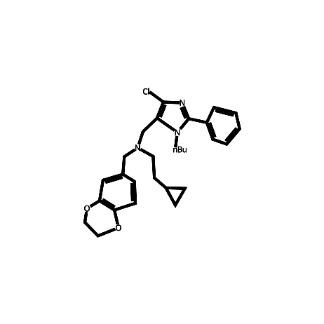 CCCCn1c(-c2ccccc2)nc(Cl)c1CN(CCC1CC1)Cc1ccc2c(c1)OCCO2